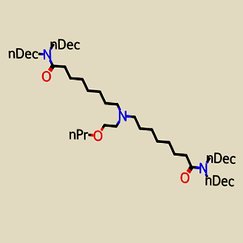 CCCCCCCCCCN(CCCCCCCCCC)C(=O)CCCCCCCN(CCCCCCCC(=O)N(CCCCCCCCCC)CCCCCCCCCC)CCOCCC